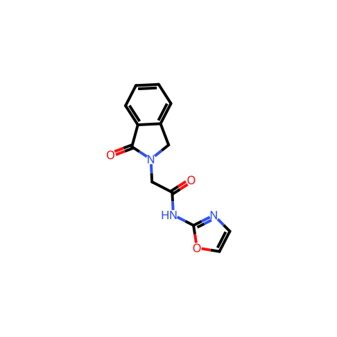 O=C(CN1Cc2ccccc2C1=O)Nc1ncco1